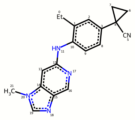 CCc1cc(C2(C#N)CC2)ccc1Nc1cc2c(cn1)ncn2C